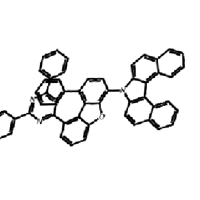 c1ccc(-c2nc(-c3ccccc3)nc(-c3cccc4oc5c(-n6c7ccc8ccccc8c7c7c8ccccc8ccc76)ccc(-c6ccccc6)c5c34)n2)cc1